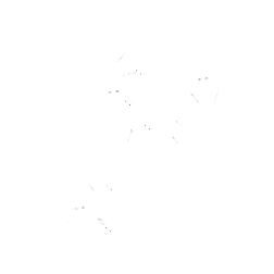 Cc1ccc(CNC(=O)C(CCCCNC(=O)C(C#N)=CC(C)(C)C)NC(=O)C(C)NC(=O)c2cc(C)on2)cc1